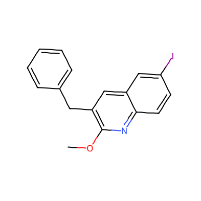 COc1nc2ccc(I)cc2cc1Cc1ccccc1